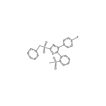 CS(=O)(=O)c1ccccc1-c1sc(S(=O)(=O)Cc2ccccc2)nc1-c1ccc(F)cc1